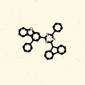 c1ccc(-c2nc(-c3cc(-c4ccccc4)c4c(c3)oc3ccccc34)nc(C3c4ccccc4-c4ccccc43)n2)cc1